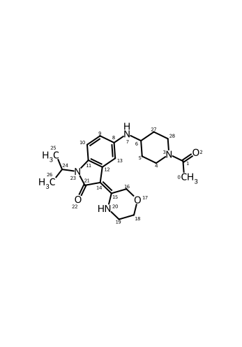 CC(=O)N1CCC(Nc2ccc3c(c2)/C(=C2\COCCN2)C(=O)N3C(C)C)CC1